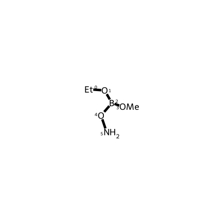 CCOB(OC)ON